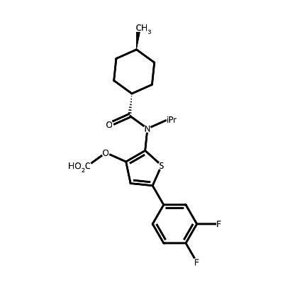 CC(C)N(c1sc(-c2ccc(F)c(F)c2)cc1OC(=O)O)C(=O)[C@H]1CC[C@H](C)CC1